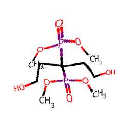 COP(=O)(OC)C(CCO)(CCO)P(=O)(OC)OC